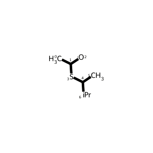 CC([O])SC(C)C(C)C